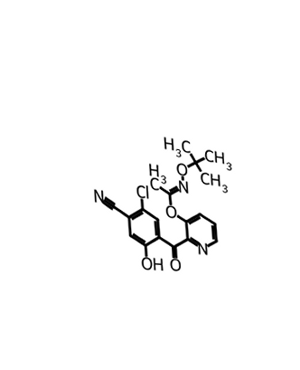 CC(=NOC(C)(C)C)Oc1cccnc1C(=O)c1cc(Cl)c(C#N)cc1O